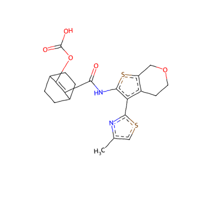 Cc1csc(-c2c(NC(=O)C3=C(OC(=O)O)C4CCC3CC4)sc3c2CCOC3)n1